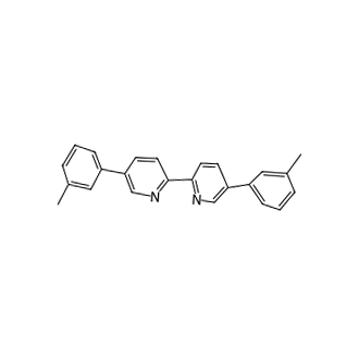 Cc1cccc(-c2ccc(-c3ccc(-c4cccc(C)c4)cn3)nc2)c1